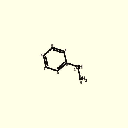 BBc1ccccc1